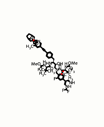 COC(=O)N[C@H](C(=O)N[C@@H](Cc1ccc(C#Cc2cnc(N3CC4CCC(C3)N4C3COC3)c(C)c2)cc1)[C@@H](O)CN(Cc1c(F)cc(/C(C=N)=C/NC(F)F)cc1F)NC(=O)[C@@H](NC(=O)OC)C(C)(C)C(F)(F)F)C(C)(C)C(F)(F)F